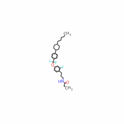 C=CC(=O)NCCCc1ccc(OC(F)(F)c2ccc(C3CCC(CCCCC)CC3)cc2)cc1F